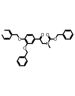 C/C=C\C(=C/C)COc1ccc(C(=O)CN(C)C(=O)OCc2ccccc2)cc1OCc1ccccc1